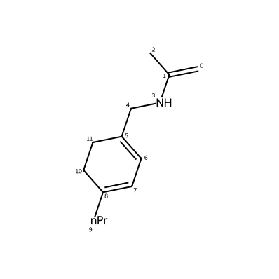 C=C(C)NCC1=CC=C(CCC)CC1